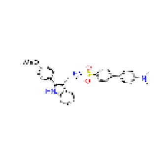 COc1ccc(-c2[nH]c3ccccc3c2CCNS(=O)(=O)c2ccc(-c3ccc(N(C)C)cc3)cc2)cc1